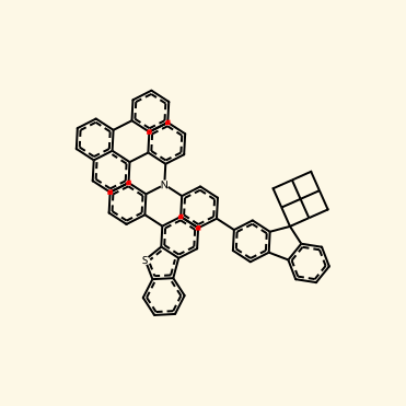 c1ccc(-c2cccc3cccc(-c4ccccc4N(c4ccc(-c5ccc6c(c5)C5(c7ccccc7-6)C6CC7CC8CC5C786)cc4)c4ccccc4-c4cccc5c4sc4ccccc45)c23)cc1